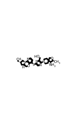 CC[C@H]1C[C@H]2COc3c(Sc4cnc(N5CCC6(CC5)CO[C@@H](C)[C@H]6N)c(CO)n4)ccnc3N2C1